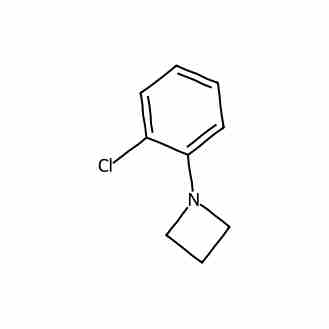 Clc1ccccc1N1CCC1